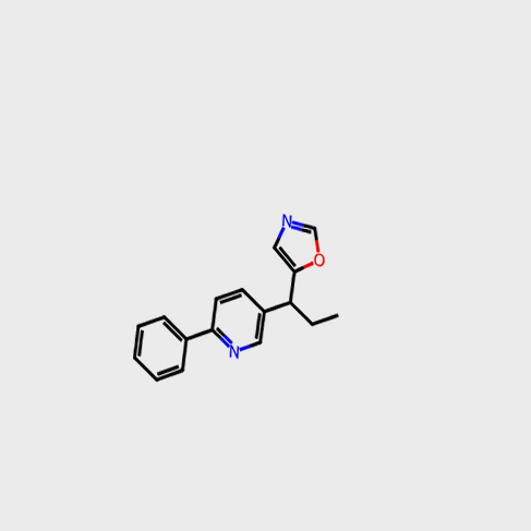 CCC(c1ccc(-c2ccccc2)nc1)c1cnco1